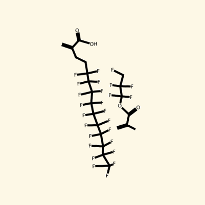 C=C(C)C(=O)OC(F)(F)C(F)(F)CF.C=C(CCC(F)(F)C(F)(F)C(F)(F)C(F)(F)C(F)(F)C(F)(F)C(F)(F)C(F)(F)C(F)(F)C(F)(F)F)C(=O)O